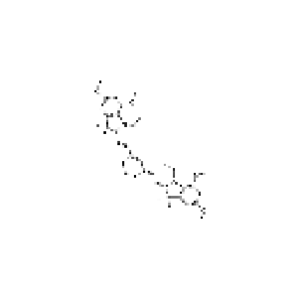 CCN1/C(=C\C=C2C=C(/C=C/C3=[N+](CC)c4c(OC)cc(OC)cc4C3(C)C)CCC\2)C(C)(C)c2cc(OC)cc(OC)c21